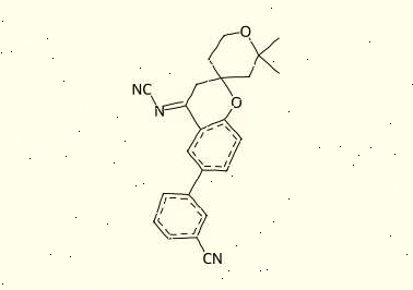 CC1(C)CC2(CCO1)C/C(=N\C#N)c1cc(-c3cccc(C#N)c3)ccc1O2